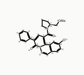 COC[C@@H]1CCCN1C(=O)c1cc(-c2ccccc2)c(=O)n2ncc3ccc(Cl)cc3c12